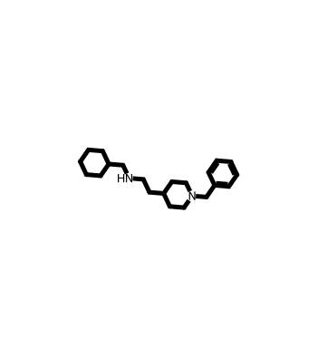 c1ccc(CN2CCC(CCNCC3CCCCC3)CC2)cc1